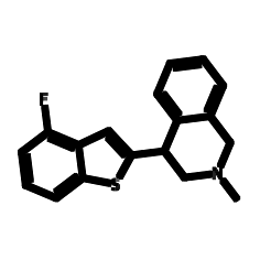 CN1Cc2ccccc2C(c2cc3c(F)cccc3s2)C1